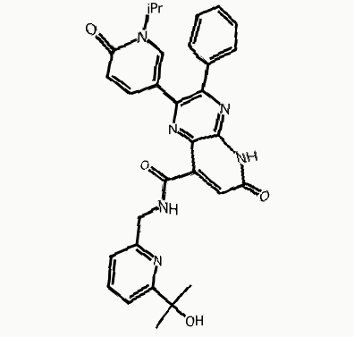 CC(C)n1cc(-c2nc3c(C(=O)NCc4cccc(C(C)(C)O)n4)cc(=O)[nH]c3nc2-c2ccccc2)ccc1=O